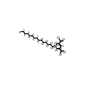 CCCCCCCCCCCCCCC[n+]1cc(C(C)C)cc(C(C)C)c1